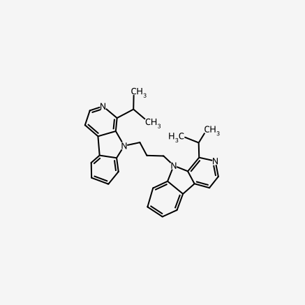 CC(C)c1nccc2c3ccccc3n(CCCn3c4ccccc4c4ccnc(C(C)C)c43)c12